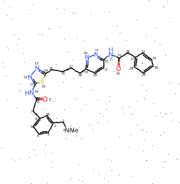 CNCc1cccc(CC(=O)Nc2nnc(CCCCc3ccc(NC(=O)Cc4ccccc4)nn3)s2)c1